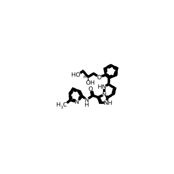 Cc1cccc(NC(=O)C2=CNC3C=CC(c4ccccc4OC[C@H](O)CO)NN23)n1